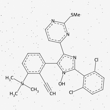 C#Cc1c(-c2c(-c3ccnc(SC)n3)nc(-c3c(Cl)cccc3Cl)n2O)cccc1[Si](C)(C)C